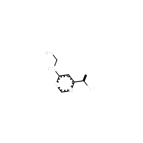 CCC(C)CNc1cc(C(N)=O)ncn1